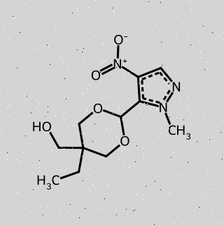 CCC1(CO)COC(c2c([N+](=O)[O-])cnn2C)OC1